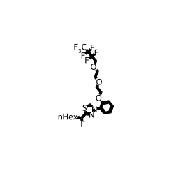 CCCCCCC(F)C1=NN(c2ccccc2OCCOCCOCC(F)(F)C(F)(F)C(F)(F)F)CS1